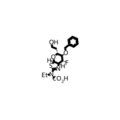 CCN(C(=O)O)C1=N[C@@H]2[C@@H](F)[C@H](OCc3ccccc3)[C@@H](CCO)O[C@@H]2S1